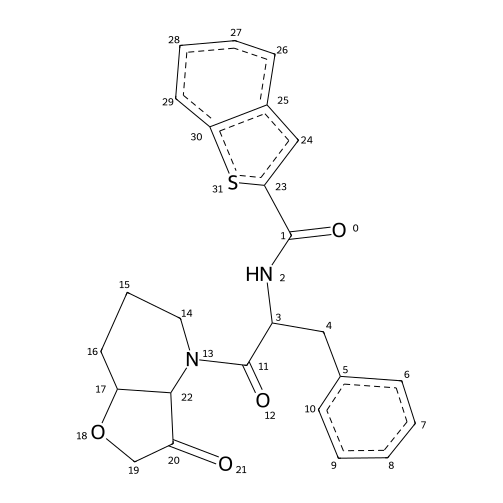 O=C(NC(Cc1ccccc1)C(=O)N1CCCC2OCC(=O)C21)c1cc2ccccc2s1